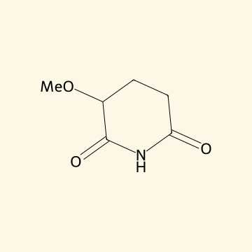 COC1CCC(=O)NC1=O